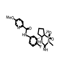 COc1ccc(C(=O)Nc2ccc(F)c([C@]34CCC[C@H]3S(=O)(=O)N(C)C(=N)N4)c2)nc1